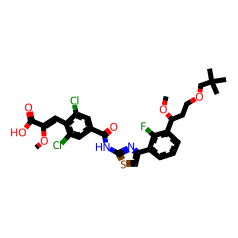 CO/C(=C\c1c(Cl)cc(C(=O)Nc2nc(-c3cccc(C(CCOCC(C)(C)C)OC)c3F)cs2)cc1Cl)C(=O)O